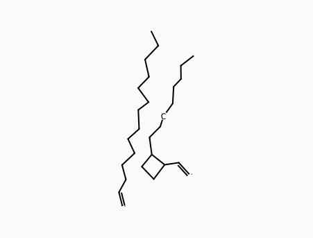 [CH]=CC1CCC1CCCCCCCC.[CH]=CCCCCCCCCCCCC